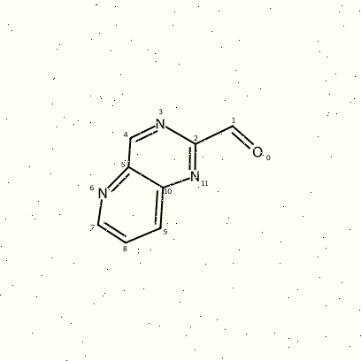 O=Cc1ncc2ncccc2n1